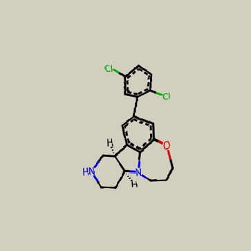 Clc1ccc(Cl)c(-c2cc3c4c(c2)[C@@H]2CNCC[C@@H]2N4CCCO3)c1